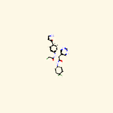 O=C(NC1CCC(F)(F)CC1)[C@@H](c1cncnc1)N(C(=O)CCl)c1ccc(-c2ccno2)cc1